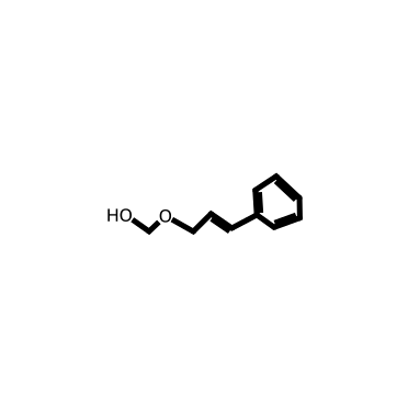 OCOC/C=C/c1ccccc1